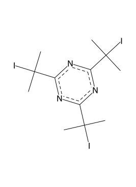 CC(C)(I)c1nc(C(C)(C)I)nc(C(C)(C)I)n1